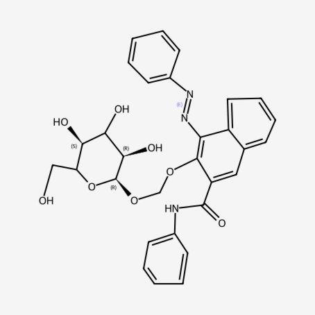 O=C(Nc1ccccc1)c1cc2ccccc2c(/N=N/c2ccccc2)c1OCO[C@H]1OC(CO)[C@@H](O)C(O)[C@H]1O